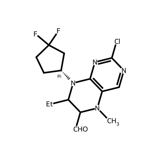 CCC1C(C=O)N(C)c2cnc(Cl)nc2N1[C@@H]1CCC(F)(F)C1